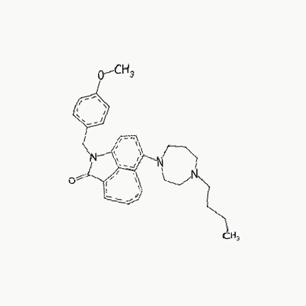 CCCCN1CCCN(c2ccc3c4c(cccc24)C(=O)N3Cc2ccc(OC)cc2)CC1